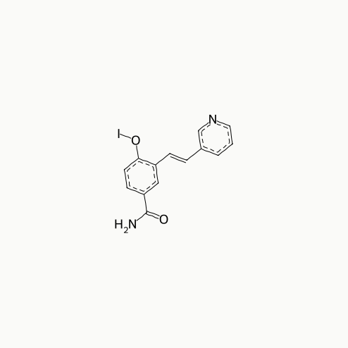 NC(=O)c1ccc(OI)c(/C=C/c2cccnc2)c1